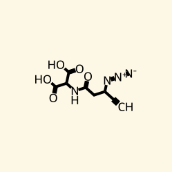 C#CC(CC(=O)NC(C(=O)O)C(=O)O)N=[N+]=[N-]